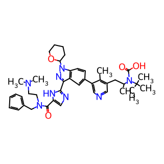 Cc1c(CC(C)N(C(=O)O)C(C)(C)C)cncc1-c1ccc2c(c1)c(-c1ncc(C(=O)N(CCN(C)C)Cc3ccccc3)[nH]1)nn2C1CCCCO1